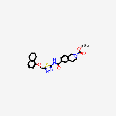 CC(C)(C)OC(=O)N1CCc2cc(C(=O)Nc3nnc(COc4cccc5c4CCCC5)s3)ccc2C1